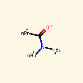 C[CH]CC(=O)N(CCCC)CCCC